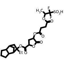 CCC1(OC(=O)C2CC(OC(=O)CCC(=O)OC(C)C(F)(F)S(=O)(=O)O)C(=O)O2)CC2CC1C1CCCC21